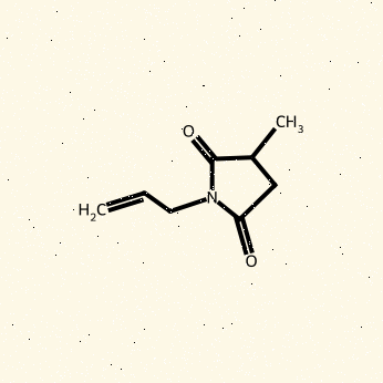 C=CCN1C(=O)CC(C)C1=O